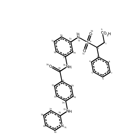 O=C(O)CC(c1ccccc1)S(=O)(=O)Nc1cccc(NC(=O)c2ccc(Nc3ccccn3)cc2)c1